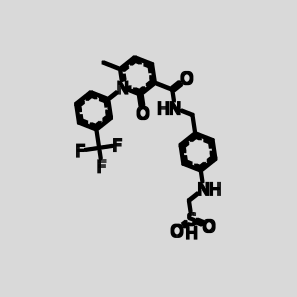 Cc1ccc(C(=O)NCc2ccc(NC[SH](=O)=O)cc2)c(=O)n1-c1cccc(C(F)(F)F)c1